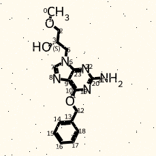 COC[C@@H](O)Cn1cnc2c(OCc3ccccc3)nc(N)nc21